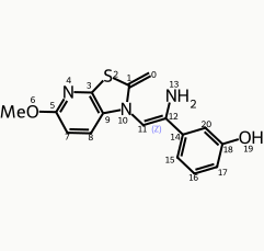 C=C1Sc2nc(OC)ccc2N1/C=C(\N)c1cccc(O)c1